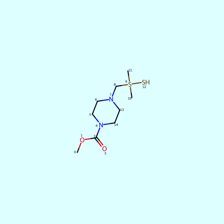 COC(=O)N1CCN(CS(C)(C)S)CC1